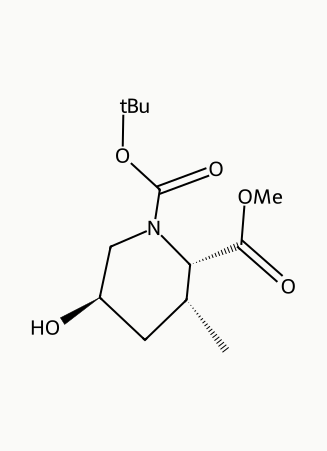 COC(=O)[C@@H]1[C@H](C)C[C@@H](O)CN1C(=O)OC(C)(C)C